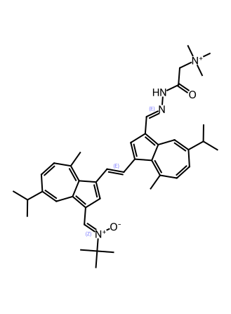 Cc1ccc(C(C)C)cc2c(/C=[N+](\[O-])C(C)(C)C)cc(/C=C/c3cc(/C=N/NC(=O)C[N+](C)(C)C)c4cc(C(C)C)ccc(C)c3-4)c1-2